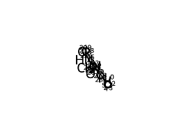 Cc1ccccc1N1CCC(n2ncc(NC[C@@H]3CCCOC3)c(Cl)c2=O)CC1